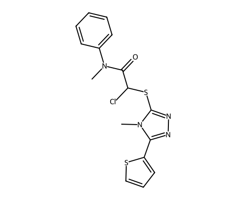 CN(C(=O)C(Cl)Sc1nnc(-c2cccs2)n1C)c1ccccc1